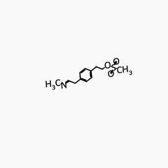 C/N=C/Cc1ccc(CCOS(C)(=O)=O)cc1